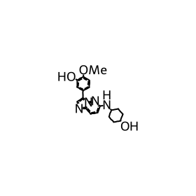 COc1ccc(-c2cnc3ccc(NC4CCC(O)CC4)nn23)cc1O